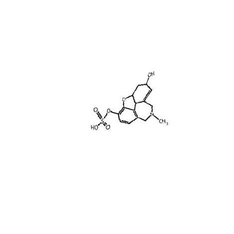 CN1CC2=CC(O)CC3Oc4c(OS(=O)(=O)O)ccc(c4C23)C1